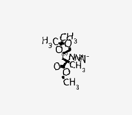 CCOC(=O)C(C)(C[C@H]1COC(C)(C)O1)N=[N+]=[N-]